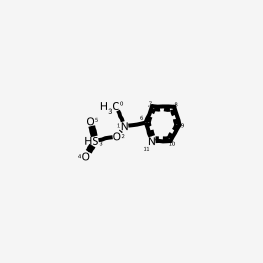 CN(O[SH](=O)=O)c1[c]cccn1